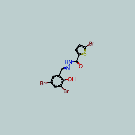 O=C(NN=Cc1cc(Br)cc(Br)c1O)c1ccc(Br)s1